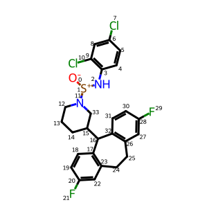 [O-][S+](Nc1ccc(Cl)cc1Cl)N1CCCC(C2c3ccc(F)cc3CCc3cc(F)ccc32)C1